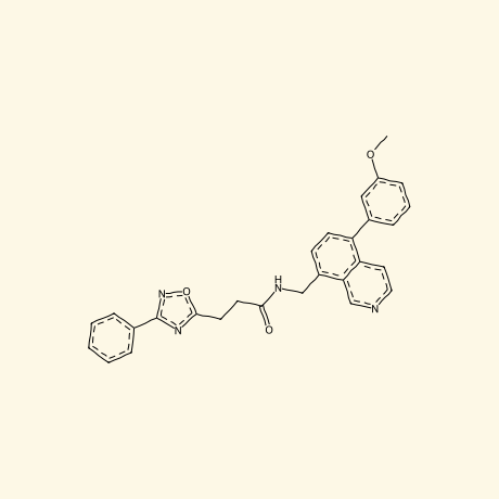 COc1cccc(-c2ccc(CNC(=O)CCc3nc(-c4ccccc4)no3)c3cnccc23)c1